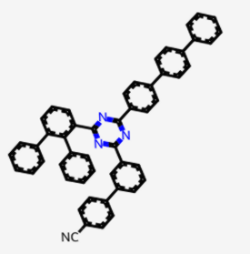 N#Cc1ccc(-c2cccc(-c3nc(-c4ccc(-c5ccc(-c6ccccc6)cc5)cc4)nc(-c4cccc(-c5ccccc5)c4-c4ccccc4)n3)c2)cc1